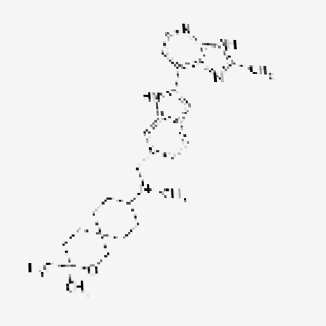 Cc1nc2c(-c3cc4ccc(CN(C)C5CCC6(CC5)CCC(C)(C)OC6)cc4[nH]3)ccnc2[nH]1